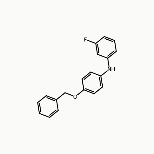 Fc1cccc(Nc2ccc(OCc3ccccc3)cc2)c1